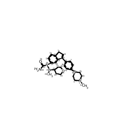 CN1CCN(c2ccc(C3=CCc4ccc(N(C(N)=O)N(C)C5CCOCC5)cc43)cc2)CC1